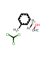 CC(C)=O.Cc1ccccc1.ClC(Cl)Cl.O=CO